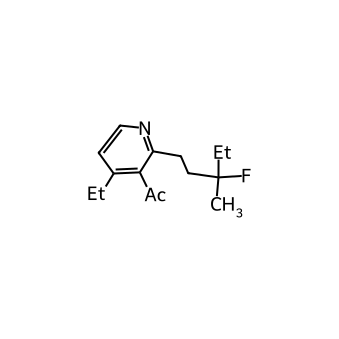 CCc1ccnc(CCC(C)(F)CC)c1C(C)=O